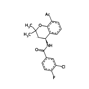 CC(=O)c1cccc2c1OC(C)(C)[CH][C@@H]2NC(=O)c1ccc(F)c(Cl)c1